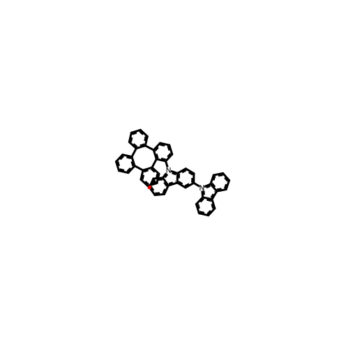 c1ccc2c(c1)-c1ccccc1-c1cccc(-n3c4ccccc4c4cc(-n5c6ccccc6c6ccccc65)ccc43)c1-c1ccccc1-2